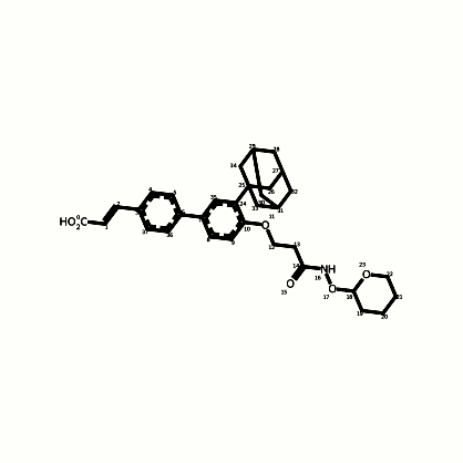 O=C(O)/C=C/c1ccc(-c2ccc(OCCC(=O)NOC3CCCCO3)c(C34CC5CC(CC(C5)C3)C4)c2)cc1